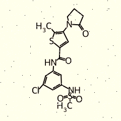 Cc1sc(C(=O)Nc2cc(Cl)cc(NS(C)(=O)=O)c2)cc1N1CCCC1=O